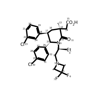 CC[C@@H](CN1CC(F)(F)C1)N1C(=O)[C@](C)(CC(=O)O)C[C@H](c2cccc(Cl)c2)[C@H]1c1ccc(Cl)cc1